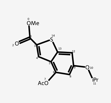 COC(=O)c1cc2c(OC(C)=O)cc(OC(C)C)cc2s1